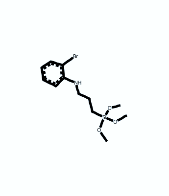 CO[Si](CCCNc1ccccc1Br)(OC)OC